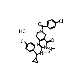 CN(C)n1c(NC(c2ccc(Cl)cc2)C2CC2)nc2c(c1=O)CN(C(=O)c1ccc(Cl)cc1)CC2.Cl